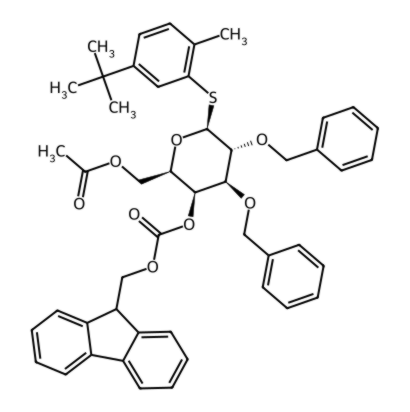 CC(=O)OC[C@H]1O[C@@H](Sc2cc(C(C)(C)C)ccc2C)[C@H](OCc2ccccc2)[C@@H](OCc2ccccc2)[C@H]1OC(=O)OCC1c2ccccc2-c2ccccc21